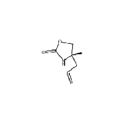 C=CC[C@@]1(C)COC(=O)N1